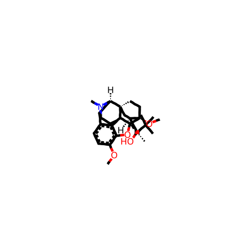 COc1ccc2c3c1O[C@H]1[C@@]4(OC)CC[C@@]5(C[C@@H]4[C@](C)(O)C(C)(C)C)[C@@H](C2)N(C)CC[C@]315